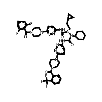 O=C(c1ccccc1C(F)(F)F)N1CCN(c2ccc(NC(=O)N(C3CCCCC3)N(CCC3CC3)C(=O)Nc3ccc(N4CCN(C(=O)c5c(F)cccc5F)CC4)nn3)nn2)CC1